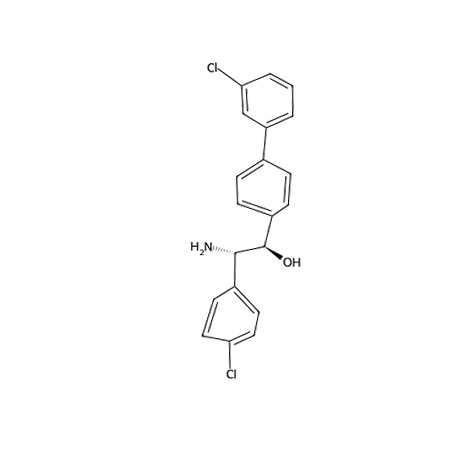 N[C@@H](c1ccc(Cl)cc1)[C@H](O)c1ccc(-c2cccc(Cl)c2)cc1